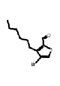 CCCCCCc1c(Br)csc1C=O